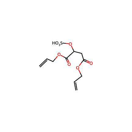 C=CCOC(=O)CC(OS(=O)(=O)O)C(=O)OCC=C